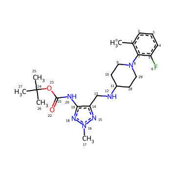 Cc1cccc(F)c1N1CCC(NCc2nn(C)nc2NC(=O)OC(C)(C)C)CC1